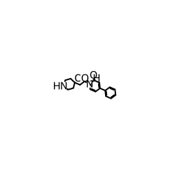 O=C(O)C1(CCn2ccc(-c3ccccc3)cc2=O)CCNCC1